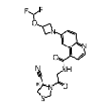 N#C[C@@H]1CSCN1C(=O)CNC(=O)c1ccnc2ccc(N3CC(OC(F)F)C3)cc12